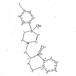 Cc1ccc(C2(O)CCN(CC3CCc4ccccc4C3=O)CC2)cc1